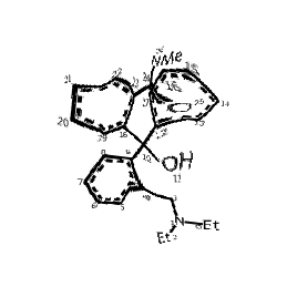 CCN(CC)Cc1ccccc1C(O)(c1ccccc1)c1ccccc1C(=O)NC